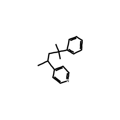 C[C](CC(C)(C)c1ccccc1)c1ccncc1